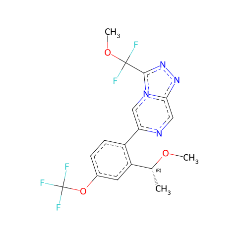 CO[C@H](C)c1cc(OC(F)(F)F)ccc1-c1cn2c(C(F)(F)OC)nnc2cn1